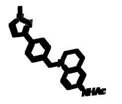 CC(=O)Nc1ccc2c(c1)CCCN2Cc1ccc(-c2ccn(C)n2)cc1